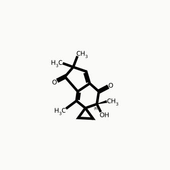 CC1=C2C(=O)C(C)(C)C=C2C(=O)[C@](C)(O)C12CC2